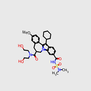 COc1ccc2c(c1)CC(C(=O)N(CCO)CCO)Cn1c-2c(C2CCCCC2)c2ccc(C(=O)NS(=O)(=O)N(C)C)cc21